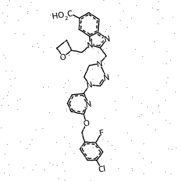 O=C(O)c1ccc2nc(CN3CCN(c4cccc(OCc5ccc(Cl)cc5F)n4)C=N3)n(CC3CCO3)c2c1